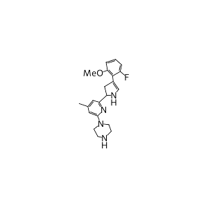 COc1cccc(F)c1C1=CNC(c2cc(C)cc(N3CCNCC3)n2)C1